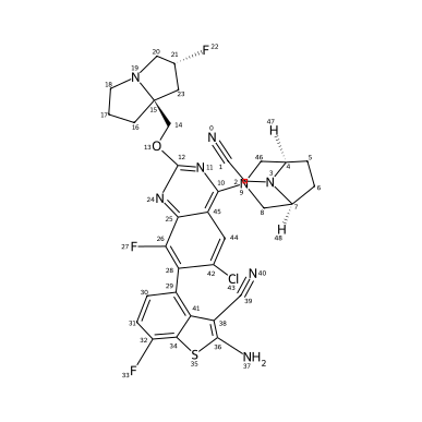 N#CCN1[C@@H]2CC[C@H]1CN(c1nc(OC[C@@]34CCCN3C[C@H](F)C4)nc3c(F)c(-c4ccc(F)c5sc(N)c(C#N)c45)c(Cl)cc13)C2